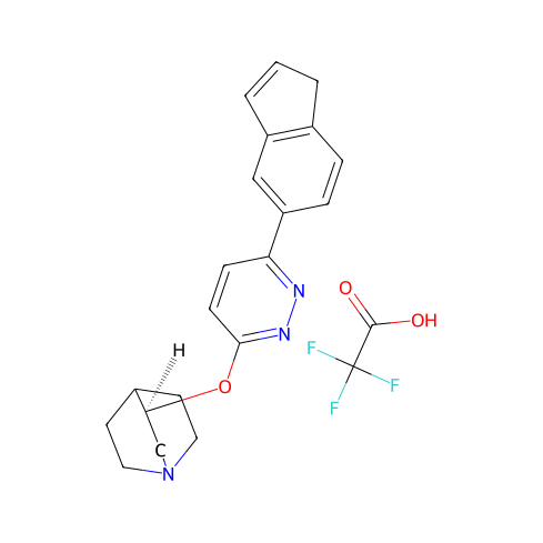 C1=Cc2cc(-c3ccc(O[C@H]4CN5CCC4CC5)nn3)ccc2C1.O=C(O)C(F)(F)F